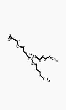 CCCCCO[SiH](CCCCOCC1CO1)OCCCCC